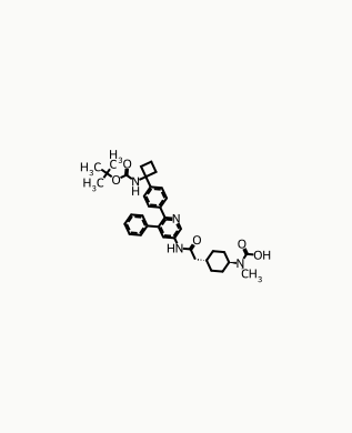 CN(C(=O)O)[C@H]1CC[C@H](CC(=O)Nc2cnc(-c3ccc(C4(NC(=O)OC(C)(C)C)CCC4)cc3)c(-c3ccccc3)c2)CC1